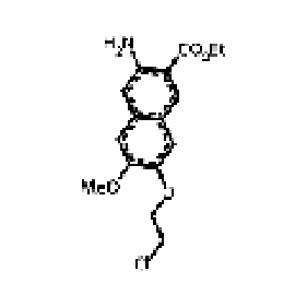 CCOC(=O)c1cc2cc(OCCCl)c(OC)cc2cc1N